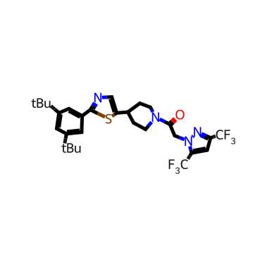 CC(C)(C)c1cc(-c2ncc(C3CCN(C(=O)Cn4nc(C(F)(F)F)cc4C(F)(F)F)CC3)s2)cc(C(C)(C)C)c1